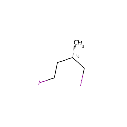 C[C@H](CI)CCI